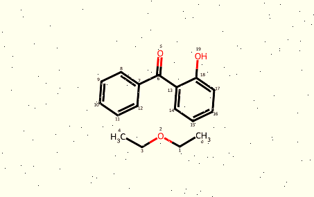 CCOCC.O=C(c1ccccc1)c1ccccc1O